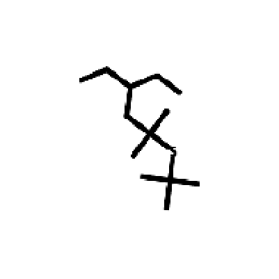 CCC(CC)CC(C)(C)SC(C)(C)C